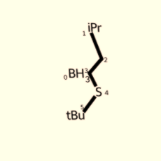 B.CC(C)CCSC(C)(C)C